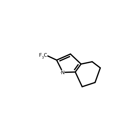 FC(F)(F)C1=CC2=C(CCCC2)[N]1